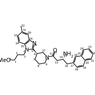 COCCCn1c([C@@H]2CCCN(C(=O)C[C@H](N)Cc3ccc4ccccc4c3)C2)nc2cc(C)ccc21